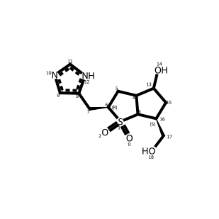 O=S1(=O)C2C(C[C@@H]1Cc1cnc[nH]1)C(O)C[C@H]2CO